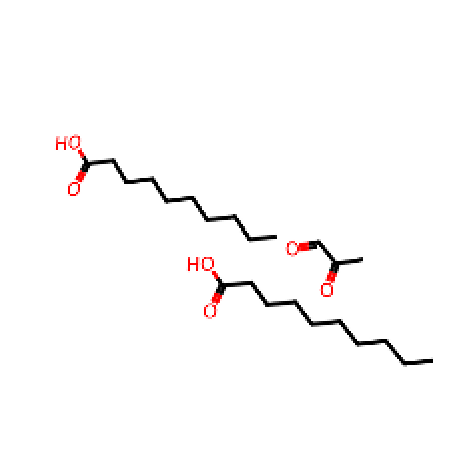 CC(=O)C=O.CCCCCCCCCC(=O)O.CCCCCCCCCC(=O)O